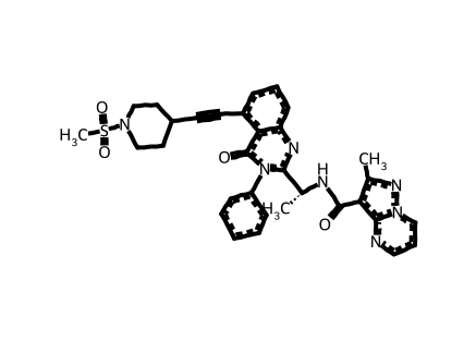 Cc1nn2cccnc2c1C(=O)N[C@H](C)c1nc2cccc(C#CC3CCN(S(C)(=O)=O)CC3)c2c(=O)n1-c1ccccc1